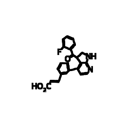 O=C(O)/C=C/c1cccc(-c2ccnc3c2C(C(=O)c2ccccc2F)CN3)c1